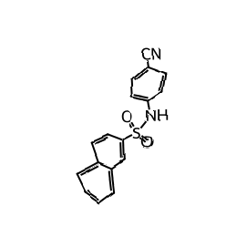 N#Cc1ccc(NS(=O)(=O)c2ccc3ccccc3c2)cc1